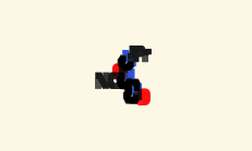 CC(C)N1CCC(Oc2nc3c(cc2C#N)C2CCCC(=O)N2CC3)CC1